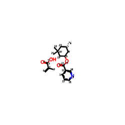 C=C(C)C(=O)O.C[C@@H]1C[C@@H](OC(=O)c2cccnc2)CC(C)(C)C1